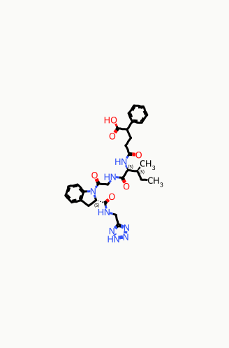 CC[C@H](C)[C@H](NC(=O)CCC(C(=O)O)c1ccccc1)C(=O)NCC(=O)N1c2ccccc2C[C@H]1C(=O)NCc1nn[nH]n1